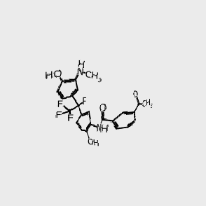 CNc1cc(C(F)(c2ccc(O)c(NC(=O)c3cccc(C(C)=O)c3)c2)C(F)(F)F)ccc1O